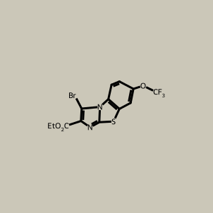 CCOC(=O)c1nc2sc3cc(OC(F)(F)F)ccc3n2c1Br